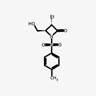 CC[C@@H]1C(=O)N(S(=O)(=O)c2ccc(C)cc2)[C@H]1CO